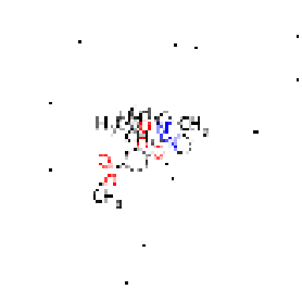 CCOC(=O)C1CCC(OC(C(=O)OC(C)(C)C)(N2CCCC2)N2[C@H](C)C[C@H]2C)CC1